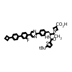 C=C([C@H](Cc1ccc(-c2ncc(-c3ccc(-c4ccc(C5CCC5)cc4)cc3F)cn2)cc1)NC(=O)c1ccc(C(C)(C)C)s1)N1CC(C(=O)O)C1